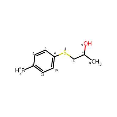 Bc1ccc(SCC(C)O)cc1